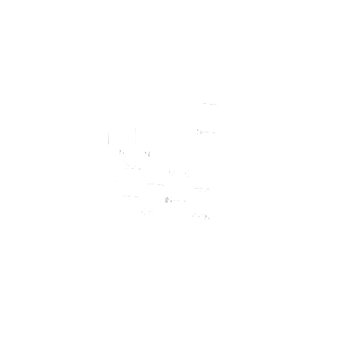 O=C(Nc1cnccc1OCCN1CCCCC1)C1=C(O)CCc2c1nc1ccccn21